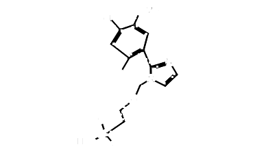 COc1cc(-c2nccn2COCC[Si](C)(C)C)c(Br)cc1Cl